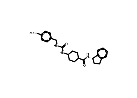 COc1ccc(CNC(=O)NC2CCC(C(=O)N[C@H]3CCc4ccccc43)CC2)cc1